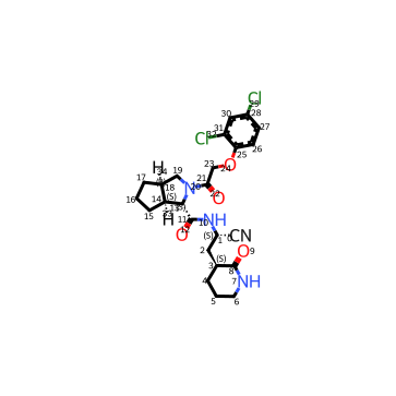 N#C[C@H](C[C@@H]1CCCNC1=O)NC(=O)[C@@H]1[C@H]2CCC[C@H]2CN1C(=O)COc1ccc(Cl)cc1Cl